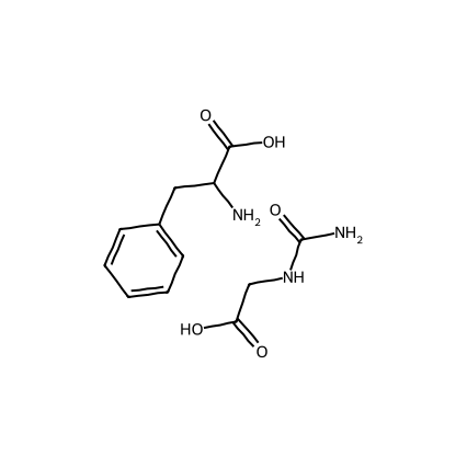 NC(=O)NCC(=O)O.NC(Cc1ccccc1)C(=O)O